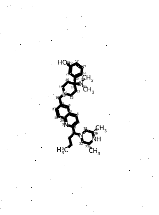 CCCC(c1ccc2cc(CN3CCC(c4cccc(O)c4)(N(C)C)CC3)ccc2n1)N1C[C@@H](C)N[C@@H](C)C1